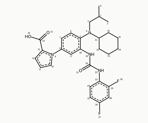 CC(C)CN(c1ccc(-n2cccc2C(=O)O)cc1NC(=O)Nc1ccc(F)cc1F)C1CCCCC1